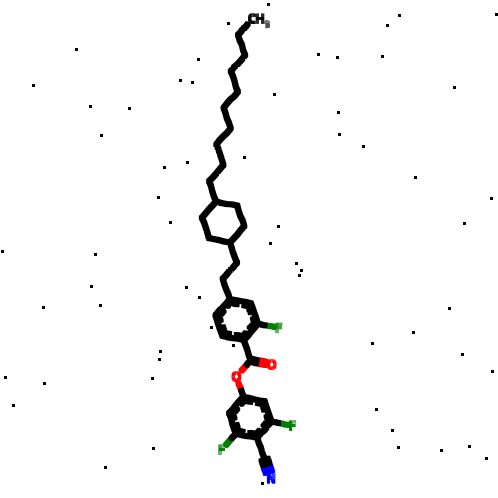 CCCCCCCCCCC1CCC(CCc2ccc(C(=O)Oc3cc(F)c(C#N)c(F)c3)c(F)c2)CC1